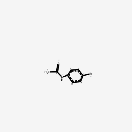 CC(=S)Nc1ccc(Br)cc1